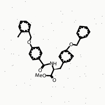 COC(=O)[C@H](Cc1ccc(OCc2ccccc2)cc1)NC(=O)c1ccc(OCc2ccccc2C)cc1